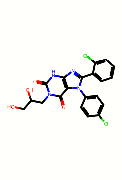 O=c1[nH]c2nc(-c3ccccc3Cl)n(-c3ccc(Cl)cc3)c2c(=O)n1CC(O)CO